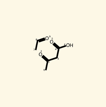 CC(=O)CC(=O)O.C[C]=O